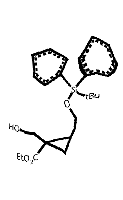 CCOC(=O)C1(CO)CC1CO[Si](c1ccccc1)(c1ccccc1)C(C)(C)C